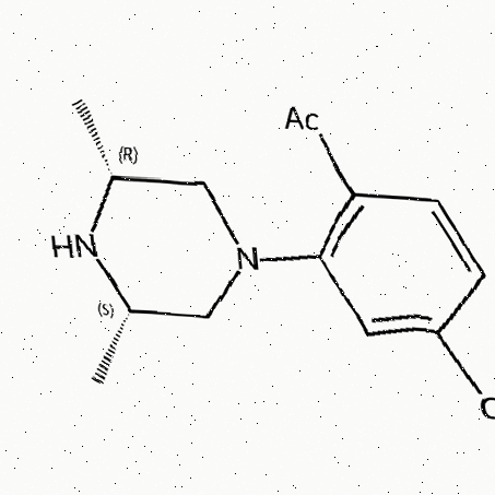 CC(=O)c1ccc(Cl)cc1N1C[C@@H](C)N[C@@H](C)C1